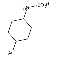 CC(=O)C1CCC(NC(=O)O)CC1